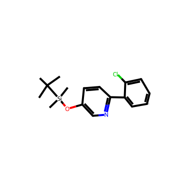 CC(C)(C)[Si](C)(C)Oc1ccc(-c2c[c]ccc2Cl)nc1